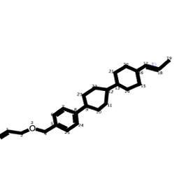 C=CCOCc1ccc(C2CCC(C3CCC(/C=C/C)CC3)CC2)cc1